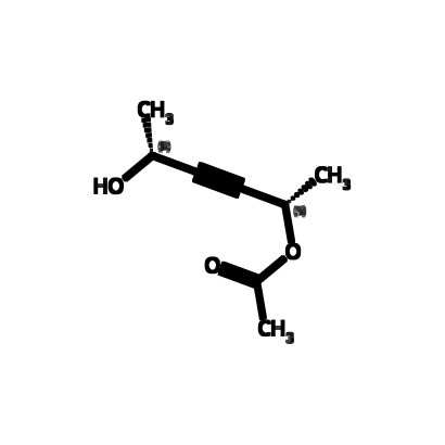 CC(=O)O[C@@H](C)C#C[C@@H](C)O